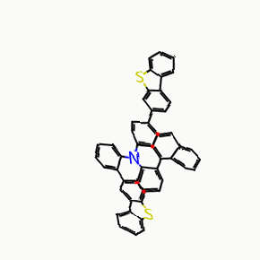 c1ccc(N(c2ccc(-c3ccc4c(c3)sc3ccccc34)cc2)c2ccccc2-c2cccc3ccccc23)c(-c2ccc3sc4ccccc4c3c2)c1